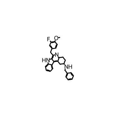 COc1ccc(Cc2nc3c(c4c2[nH]c2ccccc24)CC(NCc2ccccc2)CC3)cc1F